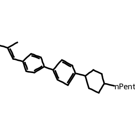 CCCCCC1CCC(c2ccc(-c3ccc(C=C(C)C)cc3)cc2)CC1